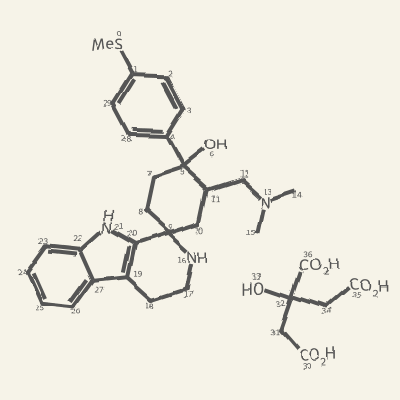 CSc1ccc(C2(O)CCC3(CC2CN(C)C)NCCc2c3[nH]c3ccccc23)cc1.O=C(O)CC(O)(CC(=O)O)C(=O)O